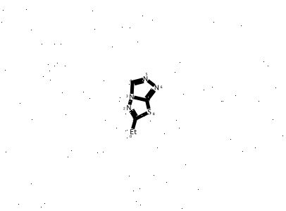 CCc1nn2cnnc2s1